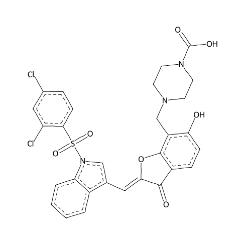 O=C1/C(=C/c2cn(S(=O)(=O)c3ccc(Cl)cc3Cl)c3ccccc23)Oc2c1ccc(O)c2CN1CCN(C(=O)O)CC1